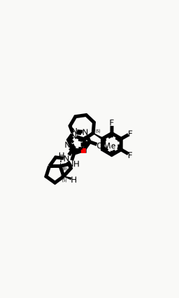 COc1cc(N2CC3CC[C@@H](C2)[C@@H]3Nc2nc3n(n2)CCCC[C@H]3c2ccc(F)c(F)c2F)cnn1